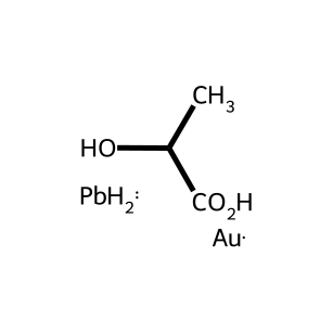 CC(O)C(=O)O.[Au].[PbH2]